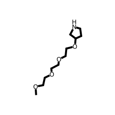 COCCOCCOCCOC1CCNC1